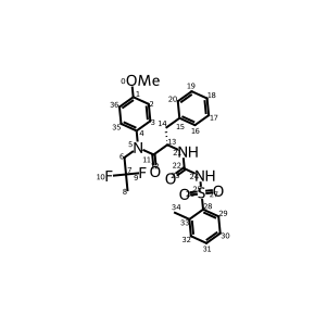 COc1ccc(N(CC(C)(F)F)C(=O)[C@H](Cc2ccccc2)NC(=O)NS(=O)(=O)c2ccccc2C)cc1